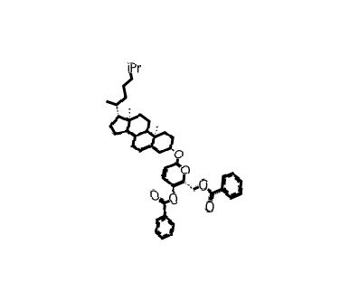 CC(C)CCCC(C)[C@H]1CCC2C3CC=C4C[C@@H](OC5C=C[C@H](OC(=O)c6ccccc6)[C@@H](COC(=O)c6ccccc6)O5)CC[C@]4(C)C3CC[C@@]21C